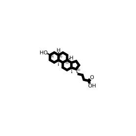 C[C@]12CCC3[C@@H](CC[C@@H]4C[C@H](O)CC[C@]34C)C1CC[C@@H]2CCCC(=O)O